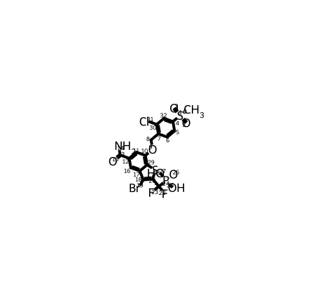 CS(=O)(=O)c1ccc(COc2cc(C(N)=O)cc3c(Br)c(C(F)(F)P(=O)(O)O)sc23)c(Cl)c1